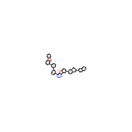 c1cc(-c2cccc(-c3ncnc4c3oc3ccc(-c5ccc6cc(-c7ccc8ccccc8c7)ccc6c5)cc34)c2)cc(-c2cccc3c2oc2ccccc23)c1